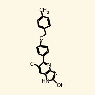 Cc1ccc(COc2ccc(-c3nc4nc(O)[nH]c4cc3Cl)cc2)cc1